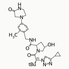 Cc1cc(N2CCNC(=O)C2)ccc1CNC(=O)C1CC(O)CN1C(=O)[C@@H](n1cc(C2CC2)nn1)C(C)(C)C